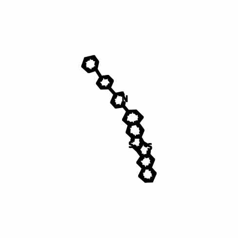 c1ccc(-c2ccc(-c3ccc(-c4ccc5cc6c(cc5c4)sc4c5cc7ccccc7cc5sc64)nc3)cc2)cc1